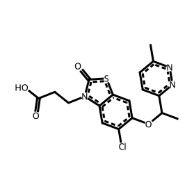 Cc1ccc(C(C)Oc2cc3sc(=O)n(CCC(=O)O)c3cc2Cl)nn1